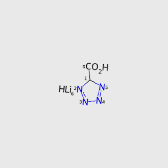 O=C(O)C1N=NN=N1.[LiH]